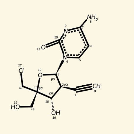 C#C[C@@H]1[C@H](n2ccc(N)nc2=O)O[C@@](CO)(CCl)[C@H]1O